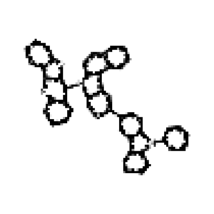 c1ccc(-n2c3ccccc3c3cc(-c4ccc5c(c4)c4c6ccccc6ccc4n5-c4c5ccccc5nc5c4sc4ccccc45)ccc32)cc1